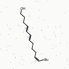 CCCC/C=C\CCC/C=C/C=C/CCCO